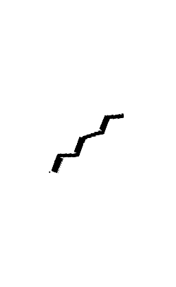 [CH]=CC=CC=CC